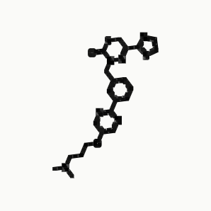 CN(C)CCCOc1cnc(-c2cccc(CN3N=C(c4nccs4)CSC3=O)c2)nc1